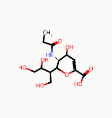 CCC(=O)N[C@@H]1C(O)C=C(C(=O)O)OC1C(CO)C(O)CO